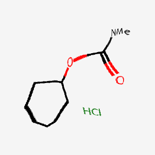 CNC(=O)OC1CCCC1.Cl